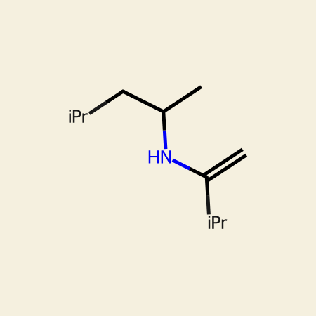 C=C(NC(C)CC(C)C)C(C)C